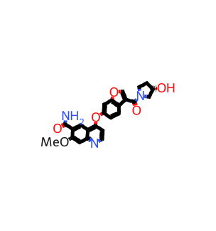 COc1cc2nccc(Oc3ccc4c(C(=O)N5CC[C@@H](O)C5)coc4c3)c2cc1C(N)=O